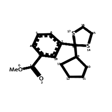 COC(=O)c1cccc(C2(C3CCCC3)SCCS2)c1